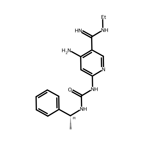 CCNC(=N)c1cnc(NC(=O)N[C@H](C)c2ccccc2)cc1N